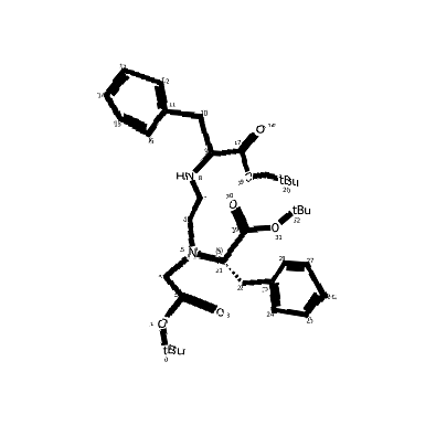 CC(C)(C)OC(=O)CN(CCNC(Cc1ccccc1)C(=O)OC(C)(C)C)[C@@H](Cc1ccccc1)C(=O)OC(C)(C)C